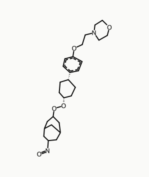 O=NC1CC2CC(C1)CC(OO[C@H]1CC[C@@H](c3ccc(OCCN4CCOCC4)cc3)CC1)C2